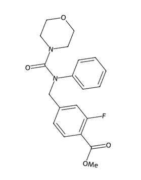 COC(=O)c1ccc(CN(C(=O)N2CCOCC2)c2ccccc2)cc1F